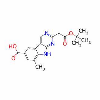 Cc1cc(C(=O)O)cc2c1[nH]c1nc(CC(=O)OC(C)(C)C)ncc12